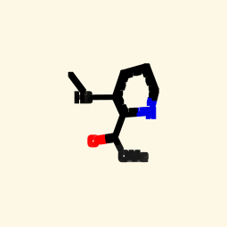 CBc1cccnc1C(=O)OC